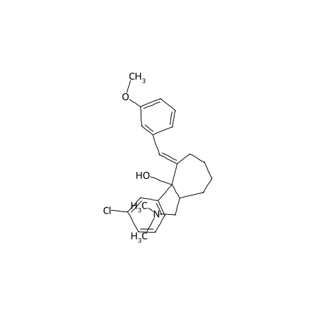 COc1cccc(C=C2CCCCC(CN(C)C)C2(O)c2cccc(Cl)c2)c1